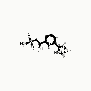 NS(=O)(=O)CC(O)c1cccc(-c2nnn[nH]2)n1